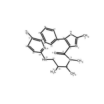 Cc1nc(C(=O)N(C)C(C)C(C)CNc2ccc(Cl)cn2)c(-c2ccccc2)s1